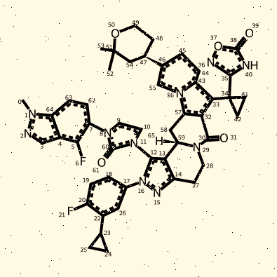 Cn1ncc2c(F)c(-n3ccn(-c4c5c(nn4-c4ccc(F)c(C6CC6)c4)CCN4C(=O)c6c(C7(c8noc(=O)[nH]8)CC7)c7ccc([C@@H]8CCOC(C)(C)C8)cn7c6C[C@@H]54)c3=O)ccc21